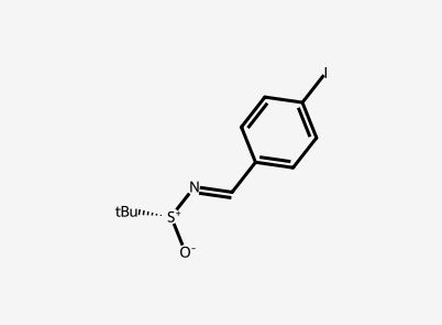 CC(C)(C)[S@@+]([O-])/N=C/c1ccc(I)cc1